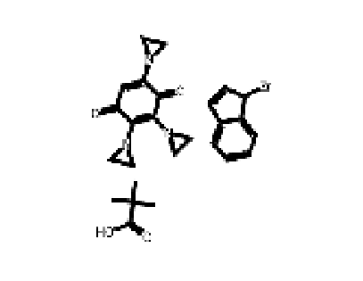 CC(C)(C)C(=O)O.O=C1C=C(N2CC2)C(=O)C(N2CC2)=C1N1CC1.[Zr][CH]1C=Cc2ccccc21